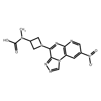 CN(C(=O)O)C1CN(c2nc3ncc([N+](=O)[O-])cc3n3cnnc23)C1